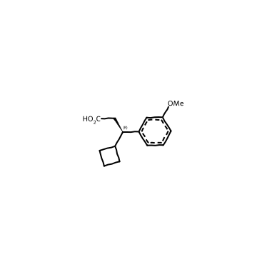 COc1cccc([C@H](CC(=O)O)C2CCC2)c1